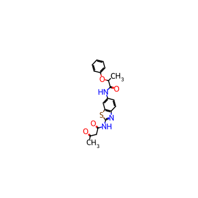 CC(=O)CC(=O)Nc1nc2ccc(NC(=O)C(C)Oc3ccccc3)cc2s1